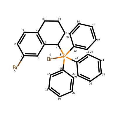 Brc1ccc2c(c1)C(P(Br)(c1ccccc1)(c1ccccc1)c1ccccc1)CCC2